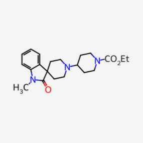 CCOC(=O)N1CCC(N2CCC3(CC2)C(=O)N(C)c2ccccc23)CC1